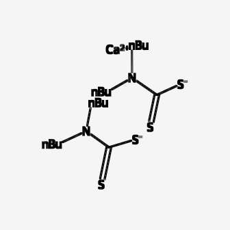 CCCCN(CCCC)C(=S)[S-].CCCCN(CCCC)C(=S)[S-].[Ca+2]